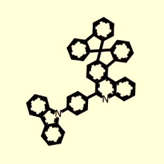 c1ccc2c(c1)-c1ccccc1C21c2ccccc2-c2c1ccc1c(-c3ccc(-n4c5ccccc5c5ccccc54)cc3)nc3ccccc3c21